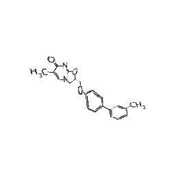 Cc1cccc(-c2ccc(OC[C@@H]3Cn4cc(C)c(=O)nc4O3)cc2)c1